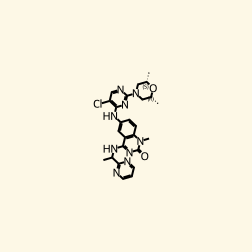 CC(Nc1nc(=O)n(C)c2ccc(Nc3nc(N4C[C@@H](C)O[C@@H](C)C4)ncc3Cl)cc12)c1ncccn1